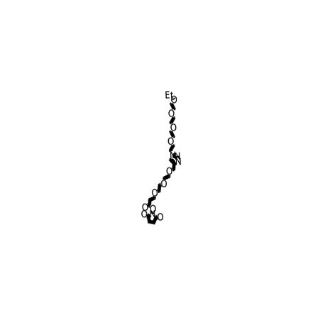 CCOCCOCCOCCOCCn1cc(COCCOCCOCCC(=O)ON2C(=O)CCC2=O)nn1